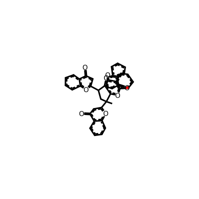 CC(CC(c1cc(=O)c2ccccc2o1)c1cc(=O)c2ccccc2o1)(c1cc(=O)c2ccccc2o1)c1cc(=O)c2ccccc2o1